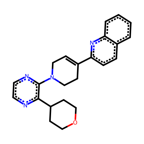 C1=C(c2ccc3ccccc3n2)CCN(c2nccnc2C2CCOCC2)C1